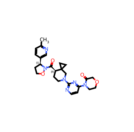 Cc1ccc([C@@H]2CCON2C(=O)[C@@H]2CCN(c3nccc(N4CCOCC4=O)n3)CC23CC3)cn1